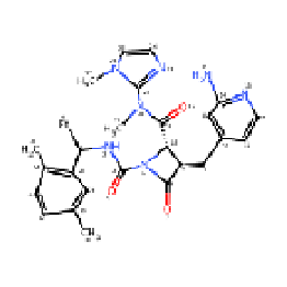 CCC(NC(=O)N1C(=O)[C@H](Cc2ccnc(N)c2)[C@H]1C(=O)N(C)c1nccn1C)c1cc(C)ccc1C